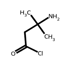 CC(C)(N)CC(=O)Cl